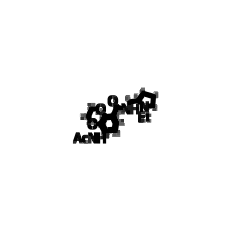 CCN1CCCC1CNC(=O)c1ccc(NC(C)=O)c2c1OCCO2